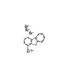 [Br-].[Br-].[Br-].[Zr+3][c]1cccc2c1Cc1ccccc1-2